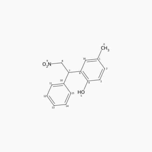 Cc1ccc(O)c(C(C[N+](=O)[O-])c2ccccc2)c1